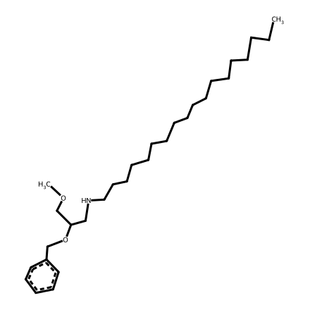 CCCCCCCCCCCCCCCCCCNCC(COC)OCc1ccccc1